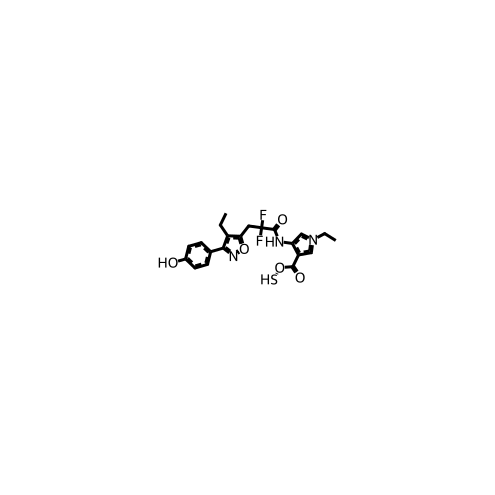 CCc1c(-c2ccc(O)cc2)noc1CC(F)(F)C(=O)Nc1cn(CC)cc1C(=O)OS